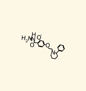 COc1cc(OCCN2CCCCC2c2ccccc2)ccc1C(=O)NN